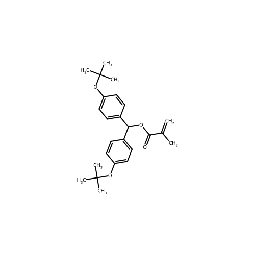 C=C(C)C(=O)OC(c1ccc(OC(C)(C)C)cc1)c1ccc(OC(C)(C)C)cc1